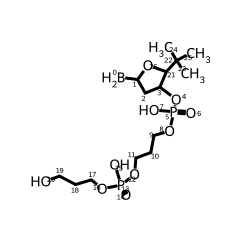 BC1CC(OP(=O)(O)OCCCOP(=O)(O)OCCCO)C(C(C)(C)C)O1